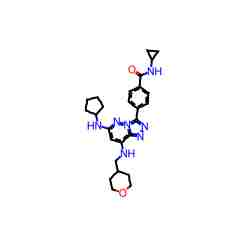 O=C(NC1CC1)c1ccc(-c2nnc3c(NCC4CCOCC4)cc(NC4CCCC4)nn23)cc1